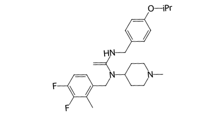 C=C(NCc1ccc(OC(C)C)cc1)N(Cc1ccc(F)c(F)c1C)C1CCN(C)CC1